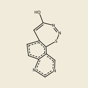 OC1=Cc2ccc3ncncc3c2SN=N1